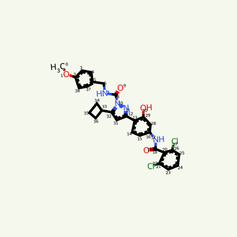 COc1ccc(CNC(=O)n2nc(-c3ccc(NC(=O)c4c(Cl)cccc4Cl)cc3O)cc2C2CCC2)cc1